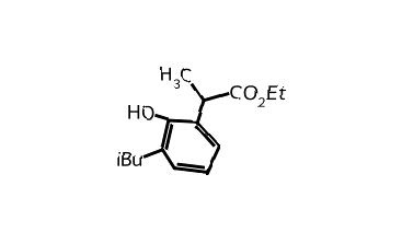 CCOC(=O)C(C)c1cccc(C(C)CC)c1O